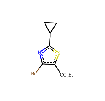 CCOC(=O)c1sc(C2CC2)nc1Br